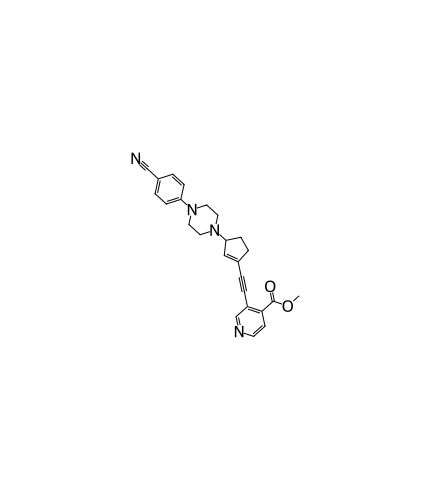 COC(=O)c1ccncc1C#CC1=CC(N2CCN(c3ccc(C#N)cc3)CC2)CC1